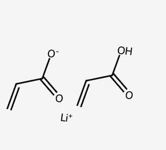 C=CC(=O)O.C=CC(=O)[O-].[Li+]